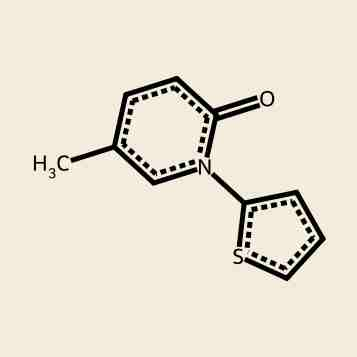 Cc1ccc(=O)n(-c2cccs2)c1